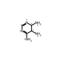 NC1=NC=NC(N)C1N